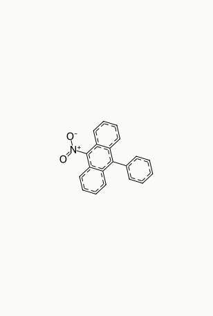 O=[N+]([O-])c1c2ccccc2c(-c2ccccc2)c2ccccc12